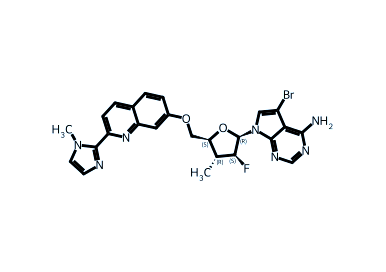 C[C@H]1[C@H](F)[C@H](n2cc(Br)c3c(N)ncnc32)O[C@@H]1COc1ccc2ccc(-c3nccn3C)nc2c1